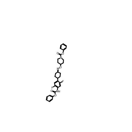 O=C(Nc1cc(F)c(C2CCC(=NOC3CCN(C(=O)Oc4ccccc4)CC3)CC2)cc1F)Oc1ccccc1